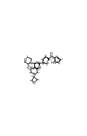 C[C@H]1COCCN1c1nc(-c2ccc(Nc3ncc[nH]3)cc2)nc2c1CCN(C1COC1)C2